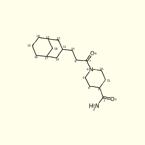 NC(=O)C1CCN(C(=O)CCC2CC3CCCC(C3)C2)CC1